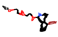 CCOCCOCCOc1nccc2c(Br)cccc12